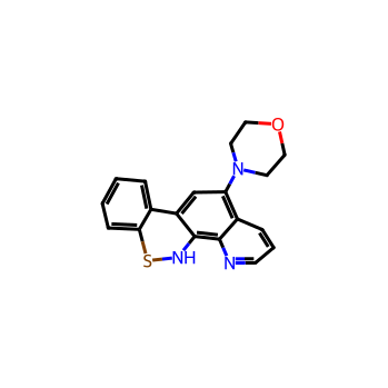 c1ccc2c(c1)SNc1c-2cc(N2CCOCC2)c2cccnc12